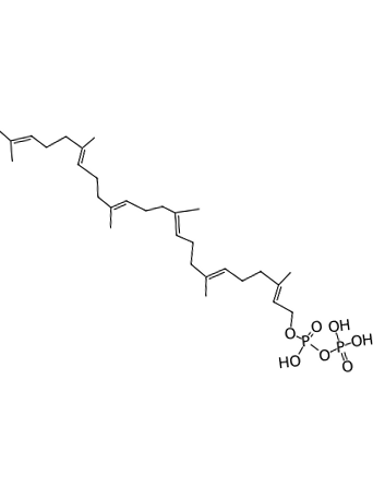 CC(C)=CCCC(C)=CCCC(C)=CCCC(C)=CCCC(C)=CCCC(C)=CCOP(=O)(O)OP(=O)(O)O